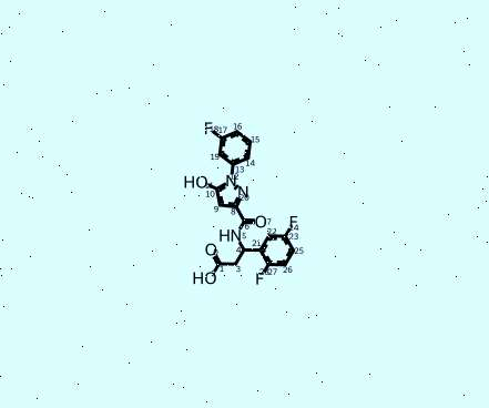 O=C(O)CC(NC(=O)c1cc(O)n(-c2cccc(F)c2)n1)c1cc(F)ccc1F